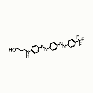 OCCCNc1ccc(N=Nc2ccc(N=Nc3ccc(C(F)(F)F)cc3)cc2)cc1